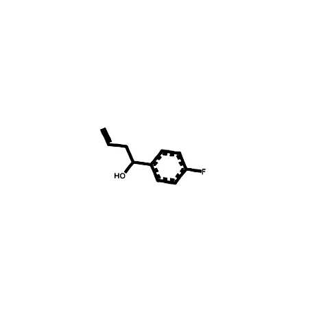 C=CCC(O)c1ccc(F)cc1